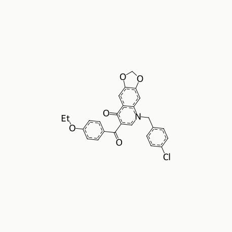 CCOc1ccc(C(=O)c2cn(Cc3ccc(Cl)cc3)c3cc4c(cc3c2=O)OCO4)cc1